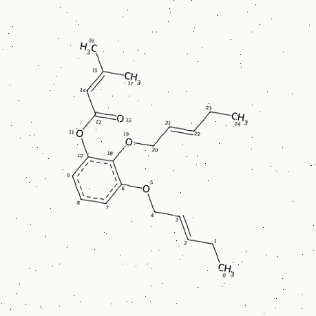 CCC=CCOc1cccc(OC(=O)C=C(C)C)c1OCC=CCC